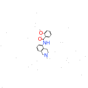 COc1ccccc1C(=O)Nc1cccc2c1CCN(C)C2